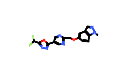 Cn1ncc2cc(OCc3ncc(-c4nnc(C(F)F)o4)cn3)ccc21